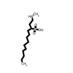 CCCCCCCCCCC(CCNC)S(=O)(=O)O